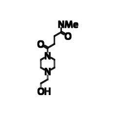 CNC(=O)CCC(=O)N1CCN(CCO)CC1